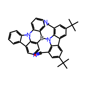 CC(C)(C)c1cc(C#N)c2c(c1)c1cc(C(C)(C)C)cc(C#N)c1n2B1c2ccccc2-n2c3ccccc3c3cccc1c32